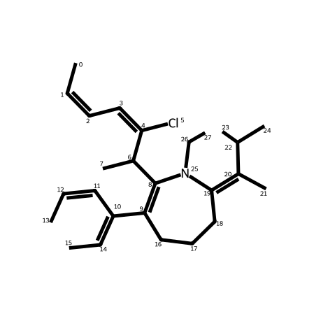 C/C=C\C=C(\Cl)C(C)C1=C(C(/C=C\C)=C/C)CCC/C(=C(\C)C(C)C)N1CC